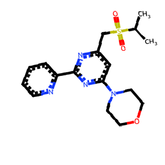 CC(C)S(=O)(=O)Cc1cc(N2CCOCC2)nc(-c2ccccn2)n1